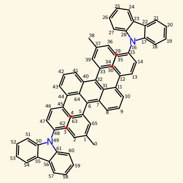 Cc1cccc(-c2c3cccc(-c4ccc(-n5c6ccccc6c6ccccc65)cc4)c3c(-c3cccc(C)c3)c3cccc(-c4ccc(-n5c6ccccc6c6ccccc65)cc4)c23)c1